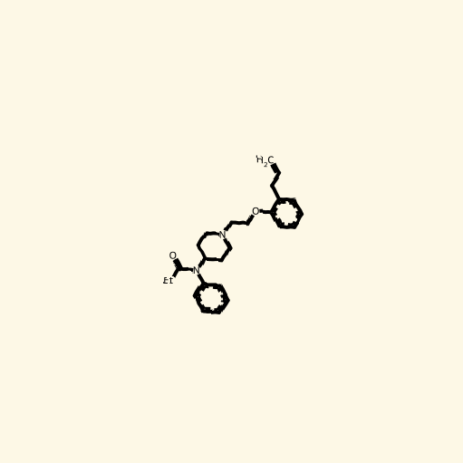 C=CCc1ccccc1OCCN1CCC(N(C(=O)CC)c2ccccc2)CC1